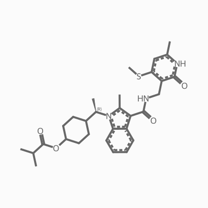 CSc1cc(C)[nH]c(=O)c1CNC(=O)c1c(C)n([C@H](C)C2CCC(OC(=O)C(C)C)CC2)c2ccccc12